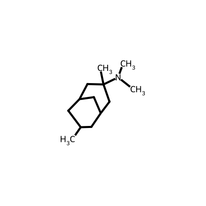 CC1CC2CC(C1)CC(C)(N(C)C)C2